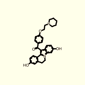 O=C(c1ccc(OCCN2CCCCC2)cc1)c1c2n(c3cc(O)ccc13)CCc1cc(O)ccc1-2